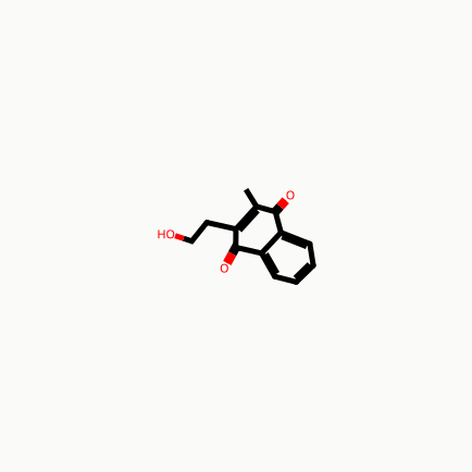 CC1=C(CCO)C(=O)c2ccccc2C1=O